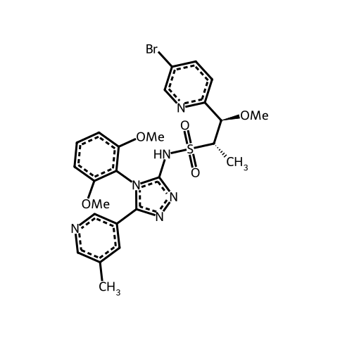 COc1cccc(OC)c1-n1c(NS(=O)(=O)[C@@H](C)[C@H](OC)c2ccc(Br)cn2)nnc1-c1cncc(C)c1